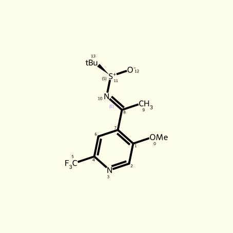 COc1cnc(C(F)(F)F)cc1/C(C)=N/[S@+]([O-])C(C)(C)C